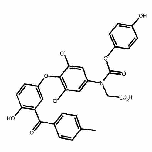 Cc1ccc(C(=O)c2cc(Oc3c(Cl)cc(N(CC(=O)O)C(=O)Oc4ccc(O)cc4)cc3Cl)ccc2O)cc1